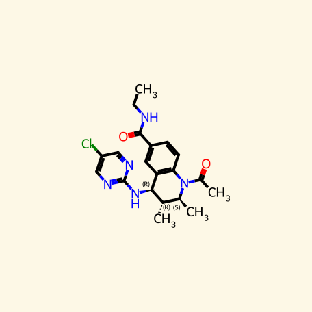 CCNC(=O)c1ccc2c(c1)[C@H](Nc1ncc(Cl)cn1)[C@@H](C)[C@H](C)N2C(C)=O